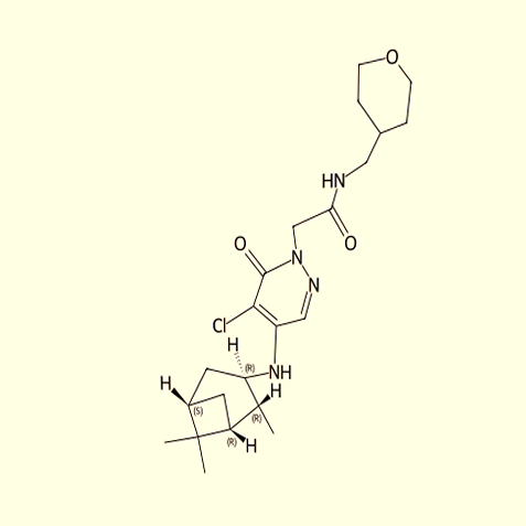 C[C@@H]1[C@H]2C[C@@H](C[C@H]1Nc1cnn(CC(=O)NCC3CCOCC3)c(=O)c1Cl)C2(C)C